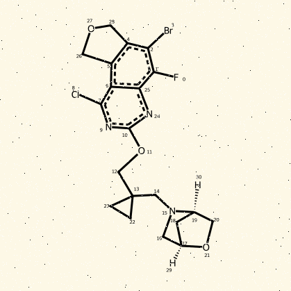 Fc1c(Br)c2c(c3c(Cl)nc(OCC4(CN5C[C@H]6C[C@@H]5CO6)CC4)nc13)COC2